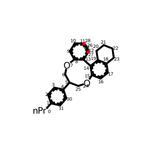 CCCc1ccc(C2COc3ccc4c(c3-c3c(ccc5c3CCCC5)OC2)CCCC4)cc1